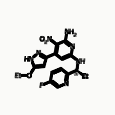 CCOc1cc(-c2cc(N[C@@H](CC)c3ccc(F)cn3)nc(N)c2[N+](=O)[O-])n[nH]1